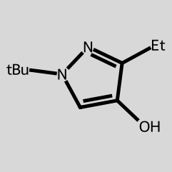 CCc1nn(C(C)(C)C)cc1O